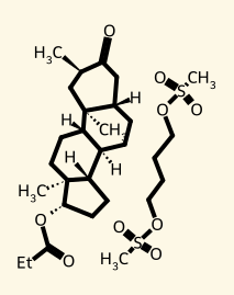 CCC(=O)O[C@H]1CC[C@H]2[C@@H]3CC[C@H]4CC(=O)[C@H](C)C[C@]4(C)[C@H]3CC[C@]12C.CS(=O)(=O)OCCCCOS(C)(=O)=O